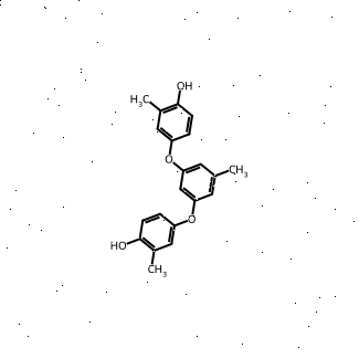 Cc1cc(Oc2ccc(O)c(C)c2)cc(Oc2ccc(O)c(C)c2)c1